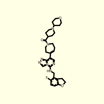 O=C(C1CCN(C2CCOCC2)CC1)N1CCC=C(c2cnc(NCc3c(F)ccc4c3CCO4)n3cnnc23)CC1